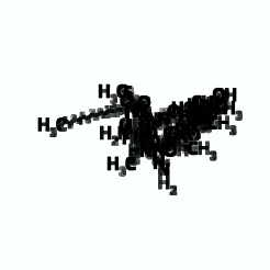 CCCCCCCCCCCCCCCC(=O)N[C@@H](CCSC)C(=O)NCC(=O)N[C@@H](Cc1ccc(O)cc1)C(=O)N[C@@H](CCC(N)=O)C(=O)N[C@@H](CCCCC)C(=O)N[C@@H](CCCCN)C(=O)N[C@H]1CC(C)N([C@@H](CCCC)C(=O)N[C@H](CO)C(=O)N[C@@H](CCSC)C(=O)N[C@H](C(=O)N[C@@H](CC(=O)O)C(C)=O)[C@@H](C)O)C1=O